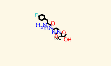 N#CC1C(O)CO[C@@H]1n1ccc(NC(=O)C(N)Cc2ccc(F)cc2)nc1=O